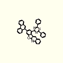 c1ccc(-c2nc(-c3ccccc3)nc(-c3cc(-c4cc5ccccc5c5ccccc45)cc4oc5nc6ccccc6cc5c34)n2)cc1